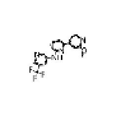 COc1cc(-c2ccnc(Nc3cncc(C(F)(F)F)c3)n2)ccn1